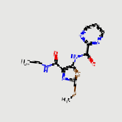 CCNC(=O)c1nc(SC)sc1NC(=O)c1ncccn1